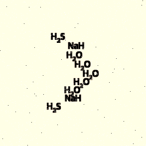 O.O.O.O.O.S.S.[NaH].[NaH]